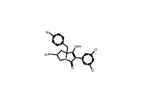 COC1=C(c2cc(Cl)cc(Cl)c2)C(=O)N2CC(NC(C)=O)CC12Cc1ccc(Br)cc1